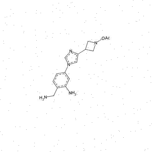 CC(=O)ON1CC(c2cn(-c3ccc(CN)c(N)c3)cn2)C1